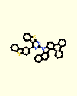 c1ccc2c(c1)ccc1c3c4c5ccccc5c5ccccc5c4ccc3n(-c3nc(-c4ccc5sc6ccccc6c5c4)c4c(n3)sc3ccccc34)c21